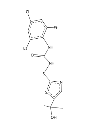 CCc1cc(Cl)cc(CC)c1NC(=O)NSc1ncc(C(C)(C)O)s1